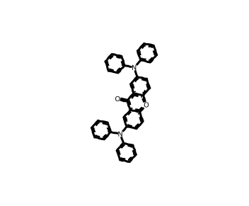 O=c1c2cc(N(c3ccccc3)c3ccccc3)ccc2oc2ccc(N(c3ccccc3)c3ccccc3)cc12